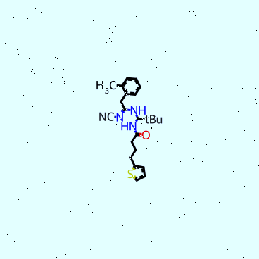 Cc1ccccc1C/C(=N\C#N)NC(NC(=O)CCCc1cccs1)C(C)(C)C